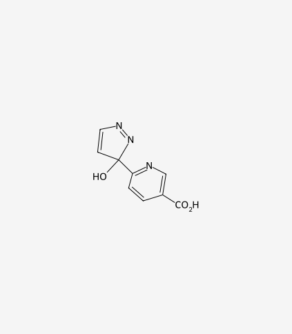 O=C(O)c1ccc(C2(O)C=CN=N2)nc1